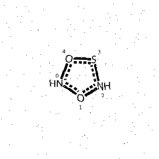 [nH]1o[nH]so1